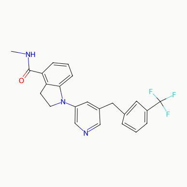 CNC(=O)c1cccc2c1CCN2c1cncc(Cc2cccc(C(F)(F)F)c2)c1